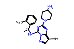 COc1ccccc1[C@H](C)Nc1nc(N2CCC(N)CC2)nc2c(C(C)C)cnn12